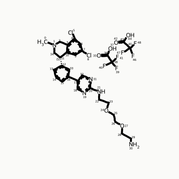 CN1Cc2c(Cl)cc(Cl)cc2[C@H](c2cccc(-c3cnc(NCCOCCOCCN)nc3)c2)C1.O=C(O)C(F)(F)F.O=C(O)C(F)(F)F